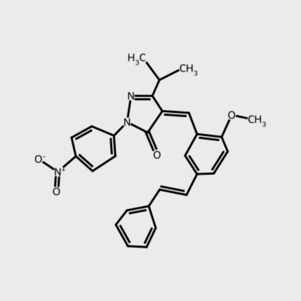 COc1ccc(C=Cc2ccccc2)cc1C=C1C(=O)N(c2ccc([N+](=O)[O-])cc2)N=C1C(C)C